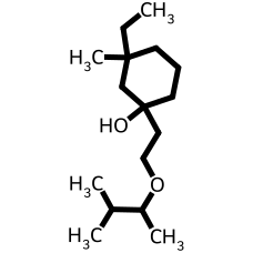 CCC1(C)CCCC(O)(CCOC(C)C(C)C)C1